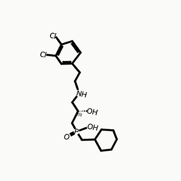 O=P(O)(CC1CCCCC1)C[C@@H](O)CNCCc1ccc(Cl)c(Cl)c1